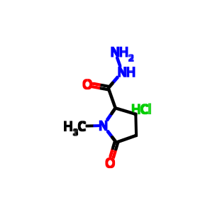 CN1C(=O)CCC1C(=O)NN.Cl